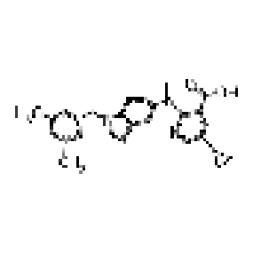 Cc1cc(C)cc(Cn2ccc3cc(Nc4ncc(C5CC5)cc4C(=O)O)ccc32)c1